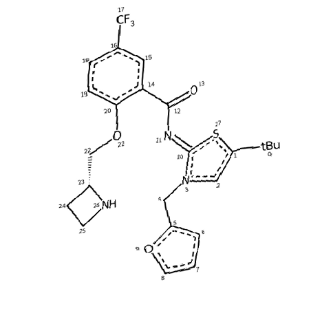 CC(C)(C)c1cn(Cc2ccco2)/c(=N/C(=O)c2cc(C(F)(F)F)ccc2OC[C@H]2CCN2)s1